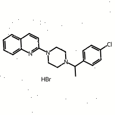 Br.CC(c1ccc(Cl)cc1)N1CCN(c2ccc3ccccc3n2)CC1